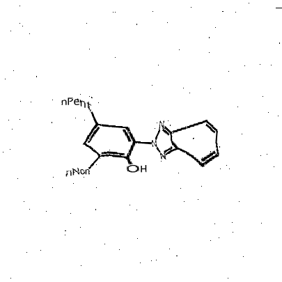 CCCCCCCCCc1cc(CCCCC)cc(-n2nc3ccccc3n2)c1O